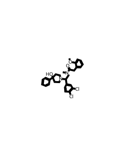 COc1ccccc1CC(=O)N(C)CC(c1ccc(Cl)c(Cl)c1)N1CCC(O)(c2ccccc2)CC1